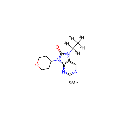 [2H]C([2H])([2H])C([2H])([2H])n1c(=O)n(C2CCOCC2)c2nc(SC)ncc21